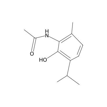 CC(=O)Nc1c(C)ccc(C(C)C)c1O